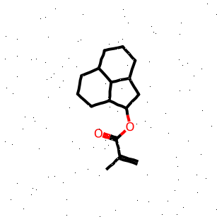 C=C(C)C(=O)OC1CC2CCCC3CCCC1C32